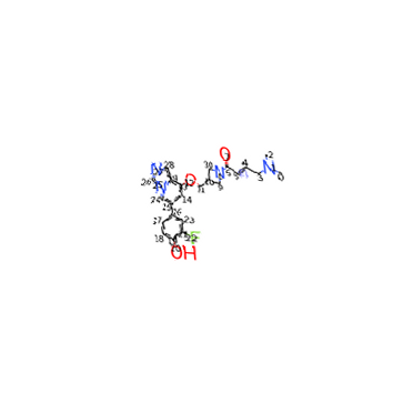 CN(C)C/C=C/C(=O)N1CC(COc2cc(-c3ccc(O)c(F)c3)cn3cncc23)C1